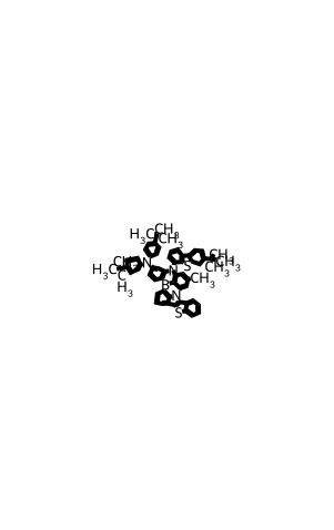 Cc1cc2c3c(c1)-n1c4c(cccc4c4sc5ccccc5c41)B3c1ccc(N(c3ccc(C(C)(C)C)cc3)c3ccc(C(C)(C)C)cc3)cc1N2c1cccc2c1SC1CC(C(C)(C)C)=CC=C21